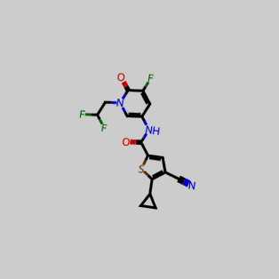 N#Cc1cc(C(=O)Nc2cc(F)c(=O)n(CC(F)F)c2)sc1C1CC1